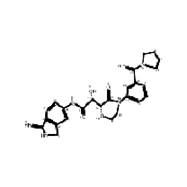 N=C1NCc2cc(NC(=O)[C@H](O)[C@H]3OCCN(c4cccc(C(=O)N5CCCC5)c4)C3=O)ccc21